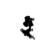 COc1ccc2c(c1)c(CC(=O)NCCCCNC(=O)c1ccc(C(O)O)c(C3=c4cc5c6c(c4Oc4c3cc3c7c4CCCN7CCC3)CCC[N+]=6CCC5)c1)c(C)n2C(=O)c1ccc(Cl)cc1